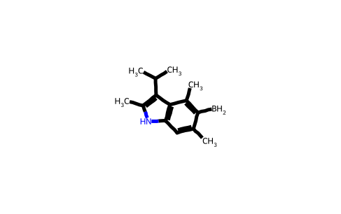 Bc1c(C)cc2[nH]c(C)c(C(C)C)c2c1C